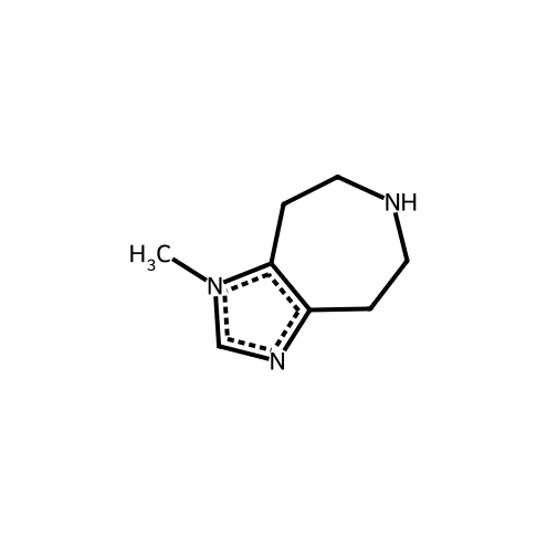 Cn1cnc2c1CCNCC2